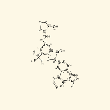 Cn1cnnc1-c1ccccc1-c1cccc(N2Cc3c(cc(CN[C@@H]4CCC[C@@H]4O)cc3C(F)(F)F)C2=O)c1